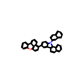 c1ccc2c(c1)Oc1ccc(-c3ccc4c(c3)c3ccc5ccccc5c3n4-c3ccc4ccccc4c3)c3cccc-2c13